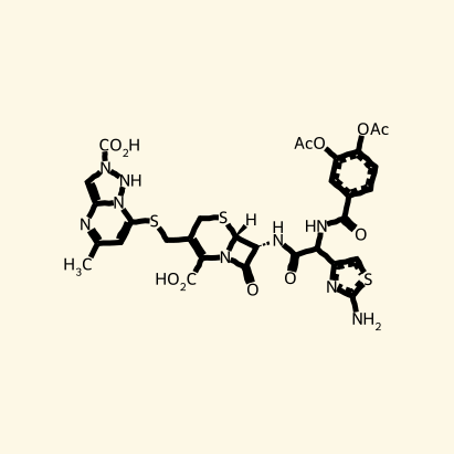 CC(=O)Oc1ccc(C(=O)NC(C(=O)N[C@@H]2C(=O)N3C(C(=O)O)=C(CSC4=CC(C)=NC5=CN(C(=O)O)NN54)CS[C@H]23)c2csc(N)n2)cc1OC(C)=O